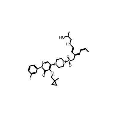 C\C=C/C=C(\C=C\NCC(C)O)CS(=O)(=O)N1CCN(c2cnn(-c3cccc(I)c3)c(=O)c2OCC2(C)CC2)CC1